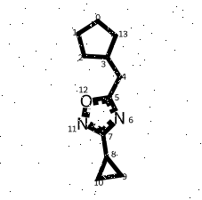 C1CCC(Cc2nc(C3CC3)no2)C1